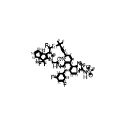 CC(C)(C)C#Cc1ccc(-c2cccn3c(NS(C)(=O)=O)nnc23)c([C@H](Cc2cc(F)cc(F)c2)NC(=O)Cn2nc(C(F)F)c3c2C(F)(F)[C@@H]2CC#C[C@H]32)n1